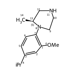 COc1cc(C(C)C)ccc1N1CCNC[C@@H]1C